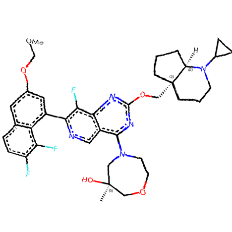 COCOc1cc(-c2ncc3c(N4CCOC[C@@](C)(O)C4)nc(OC[C@]45CCC[C@H]4N(C4CC4)CCC5)nc3c2F)c2c(F)c(F)ccc2c1